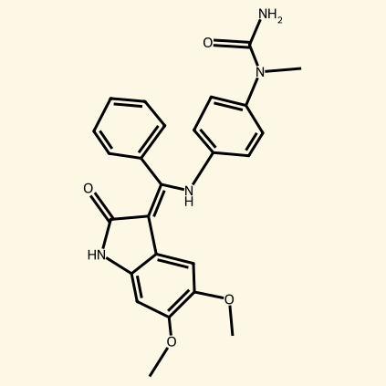 COc1cc2c(cc1OC)C(=C(Nc1ccc(N(C)C(N)=O)cc1)c1ccccc1)C(=O)N2